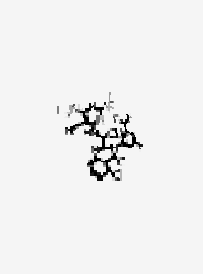 CC(Nc1nc(N)nc(N)c1C#N)c1nc2cccc(Cl)c2c(=O)n1-c1cc(F)cc(C(F)F)c1